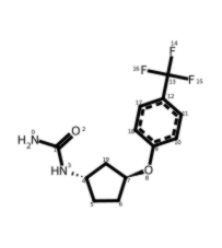 NC(=O)N[C@H]1CC[C@H](Oc2ccc(C(F)(F)F)cc2)C1